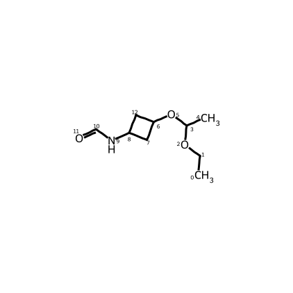 CCOC(C)OC1CC(NC=O)C1